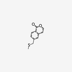 CSCc1ccc2c(=O)occc2c1